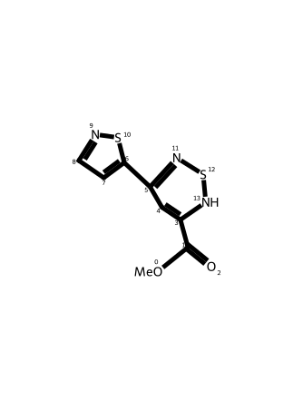 COC(=O)C1=CC(c2ccns2)=NSN1